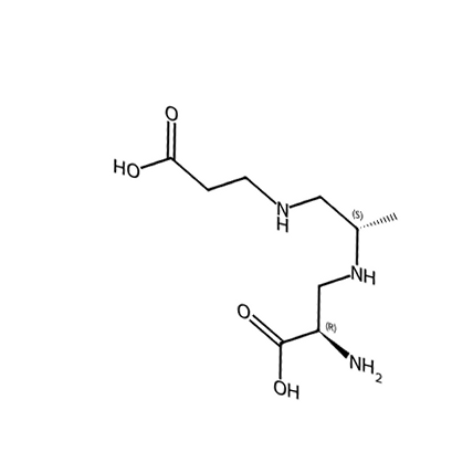 C[C@@H](CNCCC(=O)O)NC[C@@H](N)C(=O)O